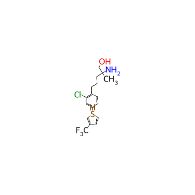 CC(N)(CO)CCCc1ccc([SH]2C=CC(C(F)(F)F)=C2)cc1Cl